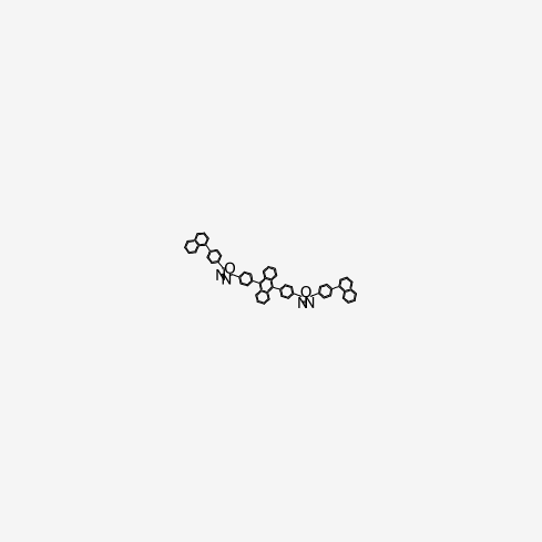 c1ccc2c(-c3ccc(-c4nnc(-c5ccc(-c6c7ccccc7c(-c7ccc(-c8nnc(-c9ccc(-c%10cccc%11ccccc%10%11)cc9)o8)cc7)c7ccccc67)cc5)o4)cc3)cccc2c1